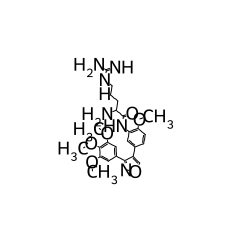 COc1ccc(-c2conc2-c2cc(OC)c(OC)c(OC)c2)cc1NC(=O)C(N)CCCNC(=N)N